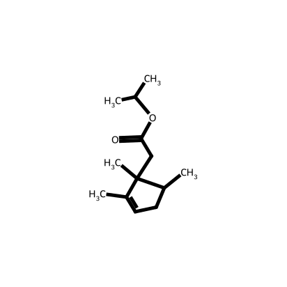 CC1=CCC(C)C1(C)CC(=O)OC(C)C